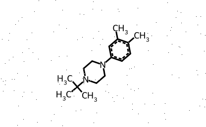 Cc1ccc(N2CCN(C(C)(C)C)CC2)cc1C